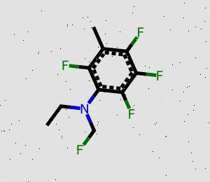 CCN(CF)c1c(F)c(C)c(F)c(F)c1F